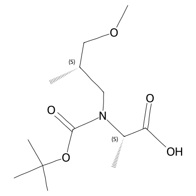 COC[C@@H](C)CN(C(=O)OC(C)(C)C)[C@@H](C)C(=O)O